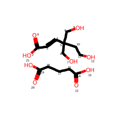 O=C(O)C=CC(CO)(CO)CCO.O=C(O)CCCC(=O)O